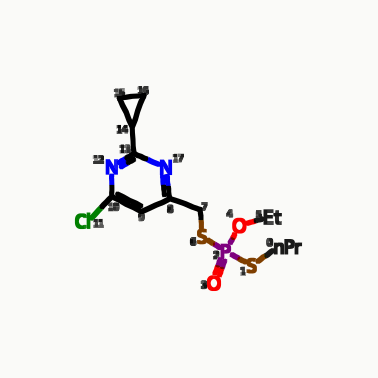 CCCSP(=O)(OCC)SCc1cc(Cl)nc(C2CC2)n1